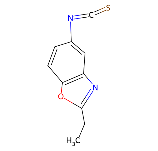 CCc1nc2cc(N=C=S)ccc2o1